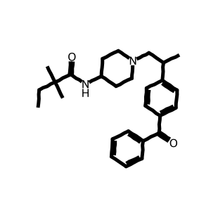 CCC(C)(C)C(=O)NC1CCN(CC(C)c2ccc(C(=O)c3ccccc3)cc2)CC1